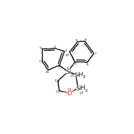 c1ccc([Si]2(c3ccccc3)CCO[SiH2][SiH2]2)cc1